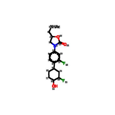 CC(=O)NCC1CN(c2ccc(C3CCC(O)C(F)C3)c(F)c2)C(=O)O1